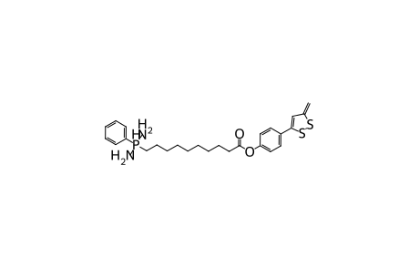 C=C1C=C(c2ccc(OC(=O)CCCCCCCCC[PH](N)(N)c3ccccc3)cc2)SS1